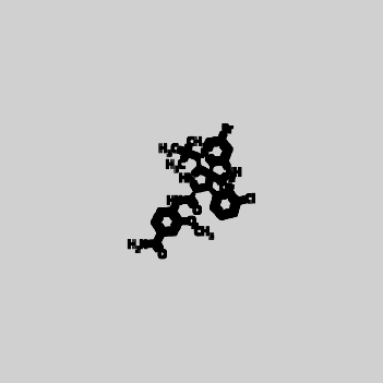 COc1cc(C(N)=O)ccc1NC(=O)[C@@H]1N[C@@H](CC(C)(C)C)[C@@]2(C(=O)Nc3cc(Br)cnc32)[C@H]1c1cccc(Cl)c1F